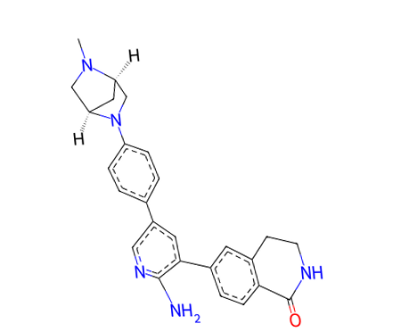 CN1C[C@H]2C[C@@H]1CN2c1ccc(-c2cnc(N)c(-c3ccc4c(c3)CCNC4=O)c2)cc1